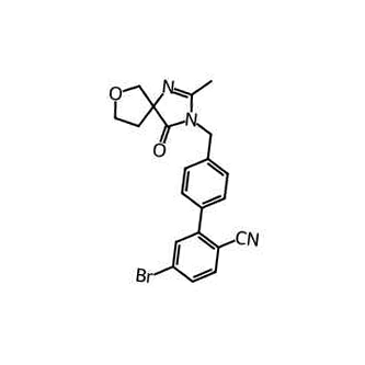 CC1=NC2(CCOC2)C(=O)N1Cc1ccc(-c2cc(Br)ccc2C#N)cc1